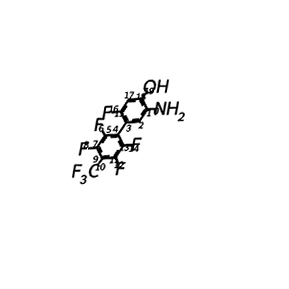 Nc1cc(-c2c(F)c(F)c(C(F)(F)F)c(F)c2F)c(F)cc1O